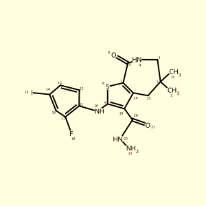 CC1(C)CNC(=O)c2sc(Nc3ccc(I)cc3F)c(C(=O)NN)c2C1